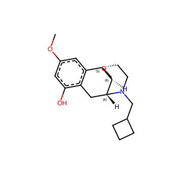 COc1cc(O)c2c(c1)[C@]13CCN(CC4CCC4)[C@H](C2)[C@@H]1CCOC3